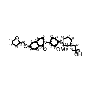 COc1cc(-n2ccc3cc(OC[C@H]4CCCO4)ccc3c2=O)ccc1N1CCCN(CC(C)(C)O)CC1